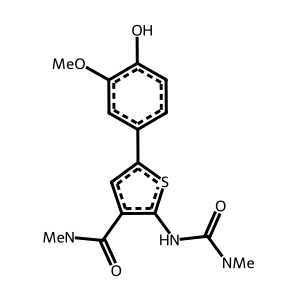 CNC(=O)Nc1sc(-c2ccc(O)c(OC)c2)cc1C(=O)NC